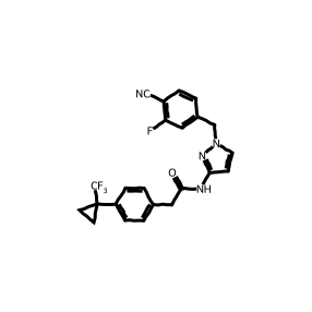 N#Cc1ccc(Cn2ccc(NC(=O)Cc3ccc(C4(C(F)(F)F)CC4)cc3)n2)cc1F